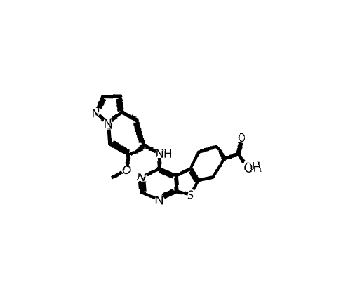 COc1cn2nccc2cc1Nc1ncnc2sc3c(c12)CCC(C(=O)O)C3